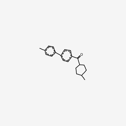 Cc1ccc(-c2ccc(C(=O)C3CCC(C)CC3)cc2)cc1